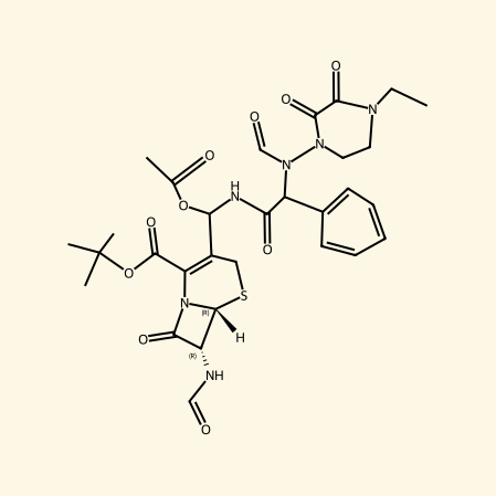 CCN1CCN(N(C=O)C(C(=O)NC(OC(C)=O)C2=C(C(=O)OC(C)(C)C)N3C(=O)[C@@H](NC=O)[C@H]3SC2)c2ccccc2)C(=O)C1=O